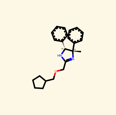 C[C@@]1(c2ccccc2)N=C(COCC2CCCC2)N[C@@H]1c1ccccc1